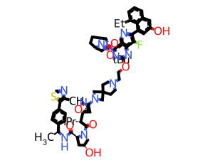 CCc1cccc2cc(O)cc(-c3ncc4c(N5CC6CCC(C5)N6C(=O)OC(C)(C)C)nc(OCCN5CCC6(CC5)CN(c5cc([C@H](C(=O)N7C[C@H](O)C[C@H]7C(=O)N[C@@H](C)c7ccc(-c8scnc8C)cc7)C(C)C)on5)C6)nc4c3F)c12